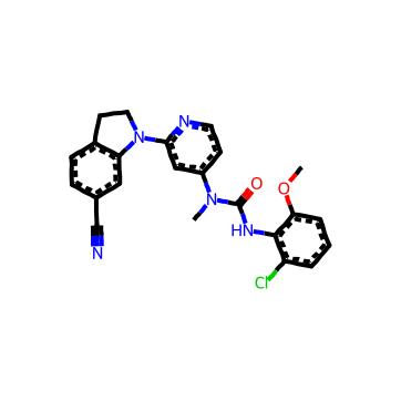 COc1cccc(Cl)c1NC(=O)N(C)c1ccnc(N2CCc3ccc(C#N)cc32)c1